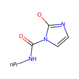 CCCNC(=O)n1ccnc1[O]